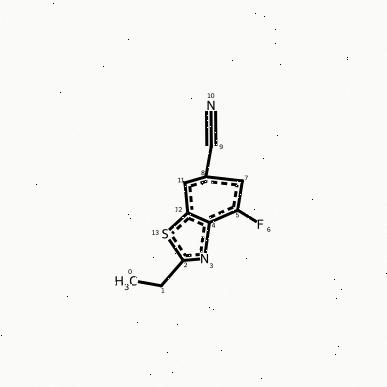 CCc1nc2c(F)cc(C#N)cc2s1